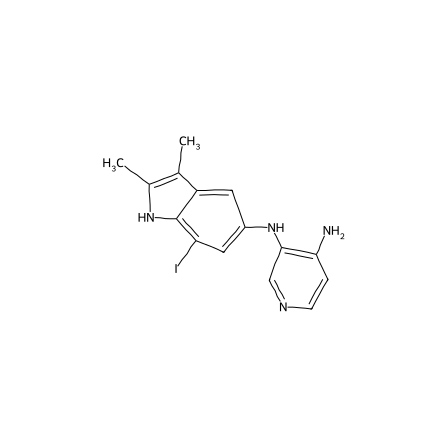 Cc1[nH]c2c(I)cc(Nc3cnccc3N)cc2c1C